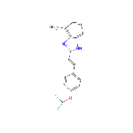 O=C(O)c1cccc2[nH]c(/C=C/c3ccc(OC(F)F)cc3)nc12